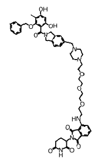 Cc1c(O)cc(O)c(C(=O)N2Cc3ccc(CN4CCN(CCOCCOCCOCCNc5cccc6c5C(=O)N(C5CCC(=O)NC5=O)C6=O)CC4)cc3C2)c1OCc1ccccc1